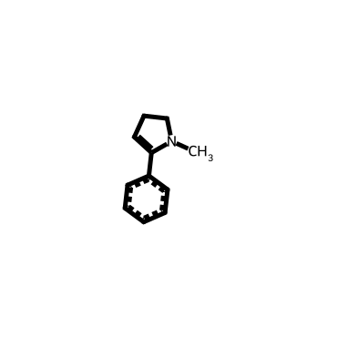 CN1CCC=C1c1ccccc1